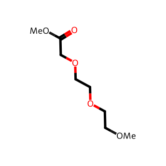 [CH2]OC(=O)COCCOCCOC